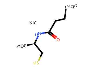 CCCCCCCCCC(=O)N[C@@H](CS)C(=O)[O-].[Na+]